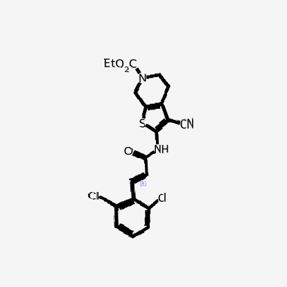 CCOC(=O)N1CCc2c(sc(NC(=O)/C=C/c3c(Cl)cccc3Cl)c2C#N)C1